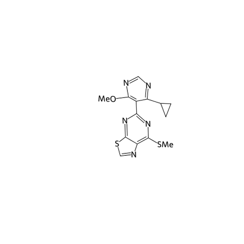 COc1ncnc(C2CC2)c1-c1nc(SC)c2ncsc2n1